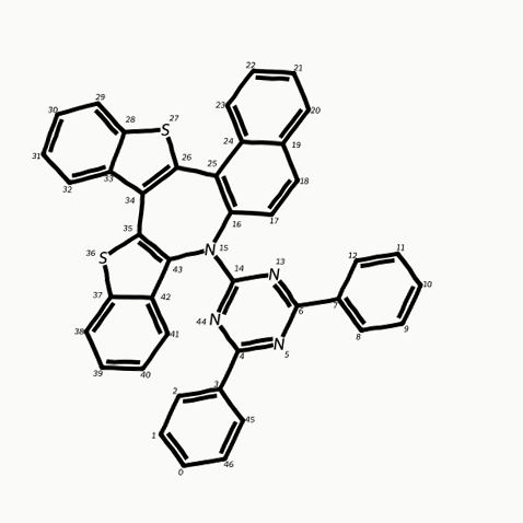 c1ccc(-c2nc(-c3ccccc3)nc(N3c4ccc5ccccc5c4-c4sc5ccccc5c4-c4sc5ccccc5c43)n2)cc1